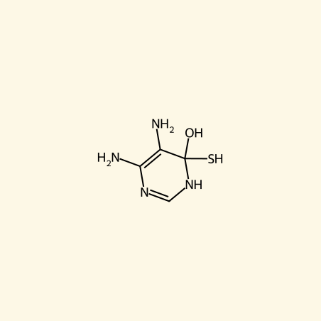 NC1=C(N)C(O)(S)NC=N1